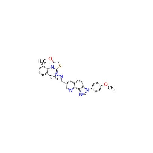 Cc1cccc(C)c1N1C(=O)CSC1=NN=Cc1cnc2c(ccc3c2ncn3-c2ccc(OC(F)(F)F)cc2)c1